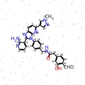 Cn1cc(-c2ccc3nc(-c4cccnc4N)n(-c4ccc(CNC(=O)Cc5ccc(C=O)c(O)c5)cc4)c3n2)cn1